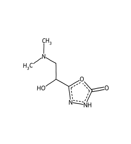 CN(C)CC(O)c1n[nH]c(=O)o1